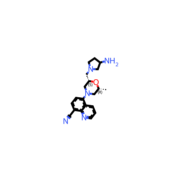 C[C@@H]1CN(c2ccc(C#N)c3ncccc23)C[C@H](CN2CCC(N)C2)O1